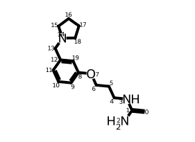 C=C(N)NCCCOc1cccc(CN2CCCC2)c1